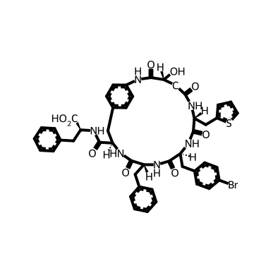 O=C1C[C@@H](O)C(=O)Nc2ccc(cc2)C[C@H](C(=O)N[C@@H](Cc2ccccc2)C(=O)O)NC(=O)[C@@H](Cc2ccccc2)NC(=O)[C@H](Cc2ccc(Br)cc2)NC(=O)[C@@H](Cc2cccs2)N1